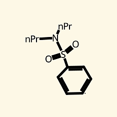 CCCN(CCC)S(=O)(=O)c1cc[c]cc1